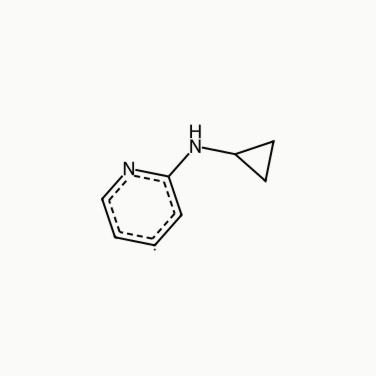 [c]1ccnc(NC2CC2)c1